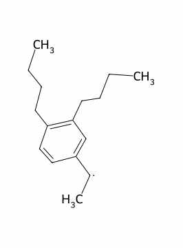 C[CH]c1ccc(CCCC)c(CCCC)c1